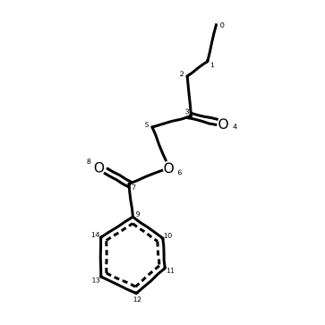 CCCC(=O)COC(=O)c1ccccc1